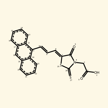 O=C(O)CN1C(=O)C(=CC=Cc2c3ccccc3cc3ccccc23)SC1=S